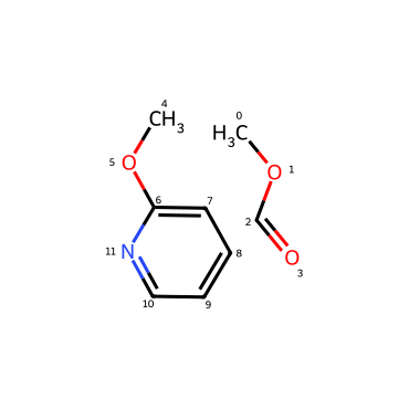 COC=O.COc1ccccn1